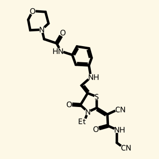 CCn1c(=C(C#N)C(=O)NCC#N)sc(=CNc2cccc(NC(=O)CN3CCOCC3)c2)c1=O